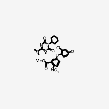 CN(C)c1nc(=O)n(C2CCCCC2)c(=O)n1C.COC(=O)c1cc(Oc2ccc(Cl)cc2Cl)ccc1[N+](=O)[O-]